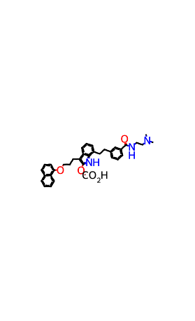 CN(C)CCNC(=O)c1cccc(CCc2cccc3c(CCCOc4cccc5ccccc45)c(OC(=O)O)[nH]c23)c1